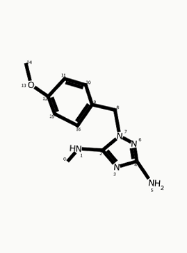 CNc1nc(N)nn1Cc1ccc(OC)cc1